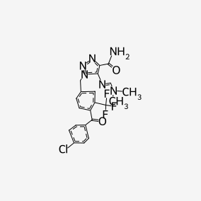 CN(C)/C=N/c1c(C(N)=O)nnn1Cc1ccc(C(=O)c2ccc(Cl)cc2)c(C(F)(F)F)c1